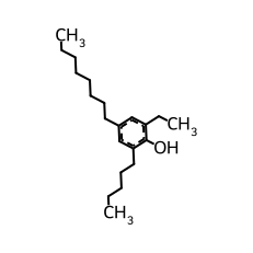 CCCCCCCCc1cc(CC)c(O)c(CCCCC)c1